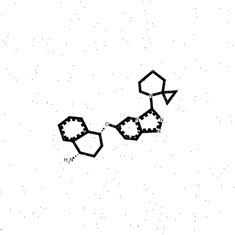 N[C@H]1CC[C@@H](Oc2ccc3nnc(N4CCCCC45CC5)n3c2)c2ccccc21